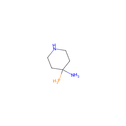 NC1(P)CCNCC1